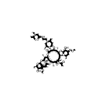 CON=C1C[C@@H](C)O[C@@H](O[C@@H]2[C@@H](C)[C@H](O[C@H]3CC(C)N(CCNC(=O)CN(C)C(C)C)C[C@H](C)O3)[C@@H](C)C(=O)O[C@H]([C@@H](C)CO[C@@H]3O[C@H](C)[C@@H](O)[C@@H](OC)[C@H]3OC)[C@H](C)[C@@H](OC(=O)CC(C)C)[C@@H](C)C(=O)[C@@](C)(OC(C)=O)C[C@@H]2C)[C@@H]1O